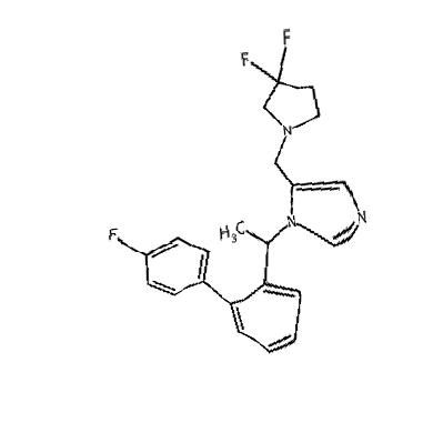 CC(c1ccccc1-c1ccc(F)cc1)n1cncc1CN1CCC(F)(F)C1